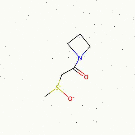 C[S+]([O-])CC(=O)N1CCC1